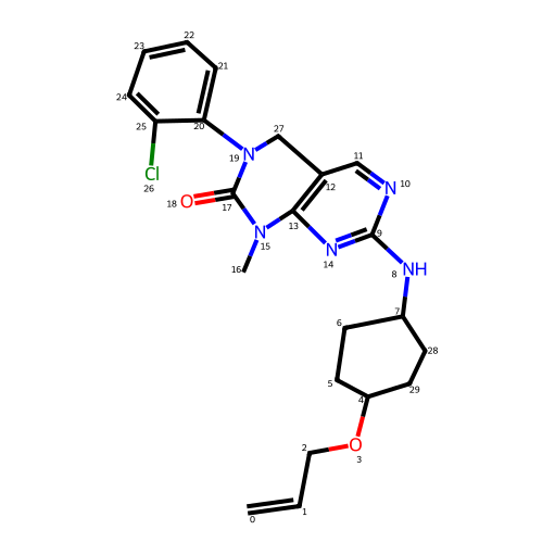 C=CCOC1CCC(Nc2ncc3c(n2)N(C)C(=O)N(c2ccccc2Cl)C3)CC1